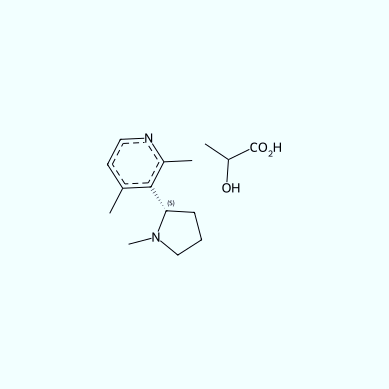 CC(O)C(=O)O.Cc1ccnc(C)c1[C@@H]1CCCN1C